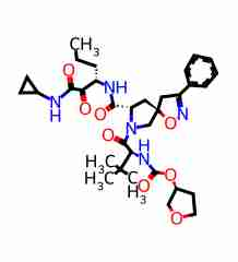 CCC[C@H](NC(=O)[C@@H]1C[C@]2(CC(c3ccccc3)=NO2)CN1C(=O)[C@@H](NC(=O)O[C@H]1CCOC1)C(C)(C)C)C(=O)C(=O)NC1CC1